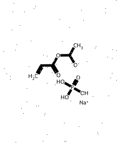 C=CC(=O)OC(C)[O-].O=P(O)(O)O.[Na+]